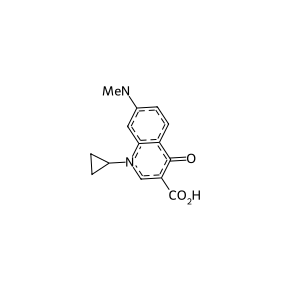 CNc1ccc2c(=O)c(C(=O)O)cn(C3CC3)c2c1